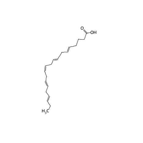 CC/C=C/C/C=C/C/C=C\C/C=C/C/C=C/CCCC(=O)O